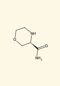 NC(=O)[C@H]1COCCN1